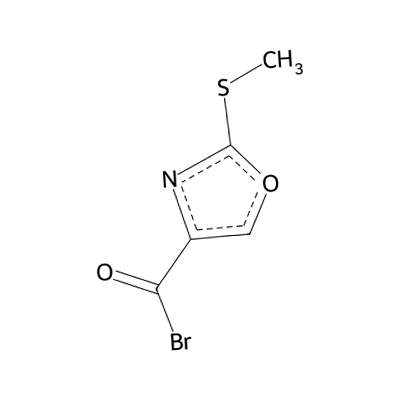 CSc1nc(C(=O)Br)co1